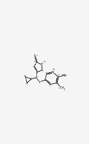 Cc1cc(CN(C2=CC(=S)OC2)C2CC2)cnc1Br